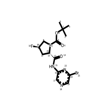 CC(C)(C)OC(=O)N1C[C@H](F)C[C@H]1C(=O)Nc1cncc(Br)n1